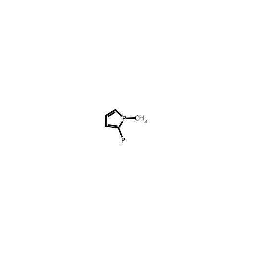 Cp1cccc1[P]